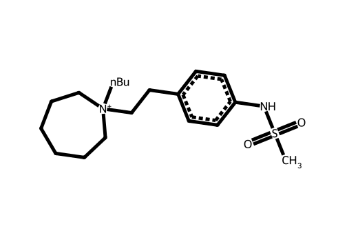 CCCC[N+]1(CCc2ccc(NS(C)(=O)=O)cc2)CCCCCC1